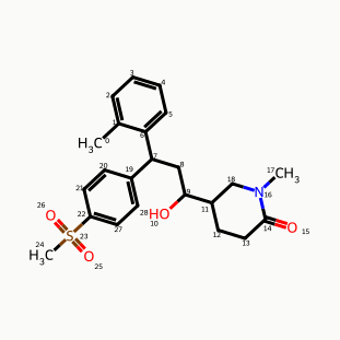 Cc1ccccc1C(CC(O)C1CCC(=O)N(C)C1)c1ccc(S(C)(=O)=O)cc1